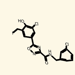 O=C(NCc1cccc(Cl)c1)c1noc(-c2cc(Cl)c(O)c(CI)c2)n1